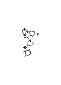 Cc1cc(C)nc(N[C@@H]2CCCN(C(=O)c3cc(F)ccc3-n3nccn3)C2)n1